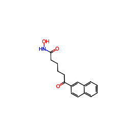 O=C(CCCCC(=O)c1ccc2ccccc2c1)NO